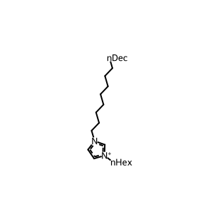 CCCCCCCCCCCCCCCCCCn1cc[n+](CCCCCC)c1